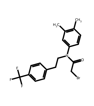 Cc1ccc(N(CCc2ccc(C(F)(F)F)cc2)C(=O)CBr)cc1C